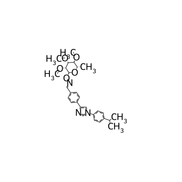 CO[C@@H]1[C@@H](OC)[C@H](C)O[C@@H](O/N=C/c2ccc(-c3cn(-c4ccc(C(C)C)cc4)cn3)cc2)[C@@H]1OC